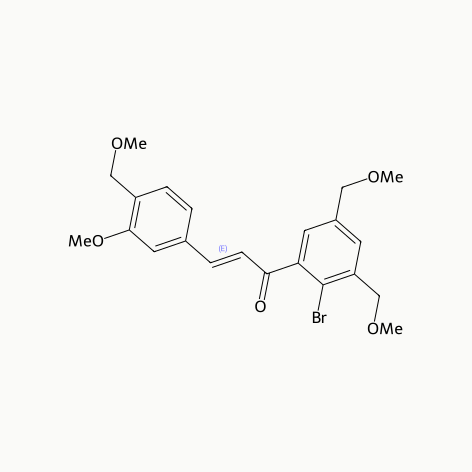 COCc1cc(COC)c(Br)c(C(=O)/C=C/c2ccc(COC)c(OC)c2)c1